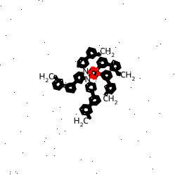 C=Cc1cccc(C2=CC(N(c3ccc(-c4cccc(-c5cccc(C=C)c5)c4)cc3)c3ccc(-c4cccc(-c5cccc(C=C)c5)c4)cc3N(C3=CC=C(c4cccc(-c5cccc(C=C)c5)c4)CC3)c3ccc(-c4cccc(-c5cccc(C=C)c5)c4)cc3)=C=C=C2)c1